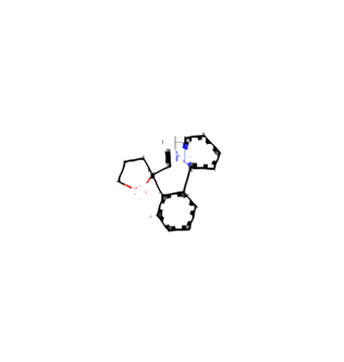 C=CC1(c2ccccc2-c2ccccn2)CCCO1